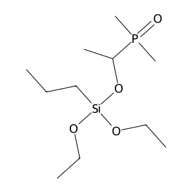 CCC[Si](OCC)(OCC)OC(C)P(C)(C)=O